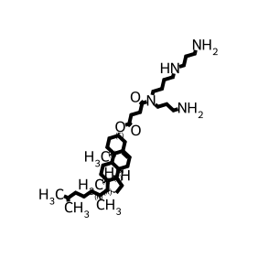 CC(C)CCC[C@@H](C)[C@H]1CC[C@H]2[C@@H]3CC=C4C[C@@H](OC(=O)CCC(=O)N(CCCN)CCCCNCCCN)CC[C@]4(C)C3CC[C@]12C